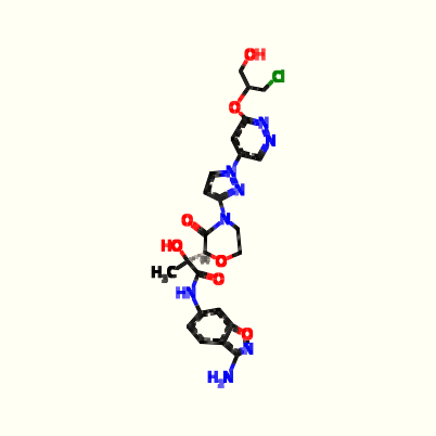 CC(O)(C(=O)Nc1ccc2c(N)noc2c1)[C@H]1OCCN(c2ccn(-c3cnnc(OC(CO)CCl)c3)n2)C1=O